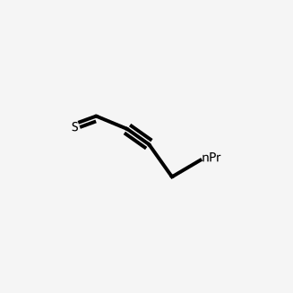 CCCCC#CC=S